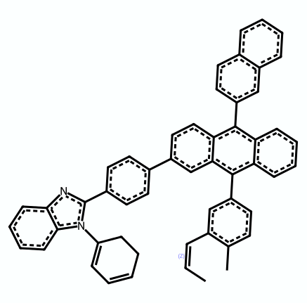 C/C=C\c1cc(-c2c3ccccc3c(-c3ccc4ccccc4c3)c3ccc(-c4ccc(-c5nc6ccccc6n5C5=CC=CCC5)cc4)cc23)ccc1C